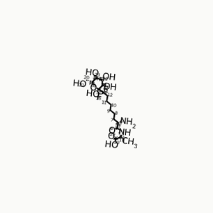 C[C@H](NC(=O)[C@@H](N)CCCCCCC(F)(F)C1(O)O[C@H](CO)[C@H](O)[C@H](O)[C@H]1O)C(=O)O